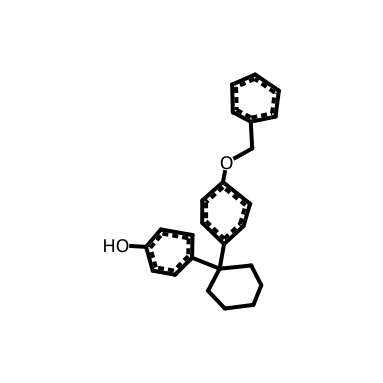 Oc1ccc(C2(c3ccc(OCc4ccccc4)cc3)CCCCC2)cc1